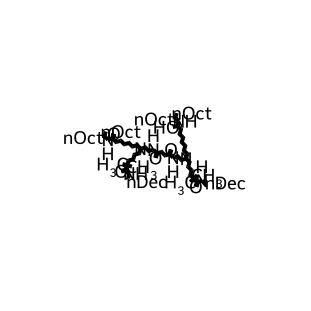 CCCCCCCCCCCNC(=O)C(C)(C)CCCCN(CCCCCCCC(O)NC(CCCCCCCC)CCCCCCCC)CCNC(=O)CCC(=O)NCCN(CCCCCCC(=O)NC(CCCCCCCC)CCCCCCCC)CCCCC(C)(C)C(=O)NCCCCCCCCCCC